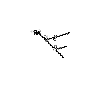 CCCCCCCCCCCOC(=O)CCCCCN(CCCCCCCC(=O)OC(CCCCCCCC)CCCCCCCC)CC(O)CCCCNC(=O)[C@H]1CCNC1